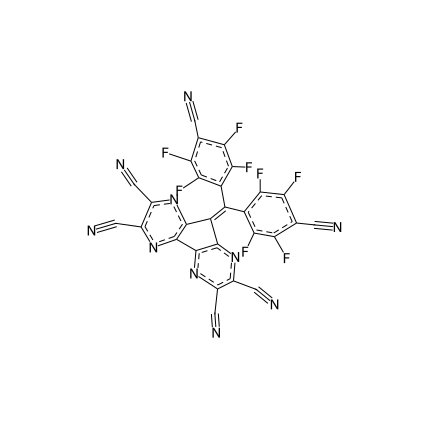 N#Cc1nc2c(nc1C#N)-c1nc(C#N)c(C#N)nc1C2=C(c1c(F)c(F)c(C#N)c(F)c1F)c1c(F)c(F)c(C#N)c(F)c1F